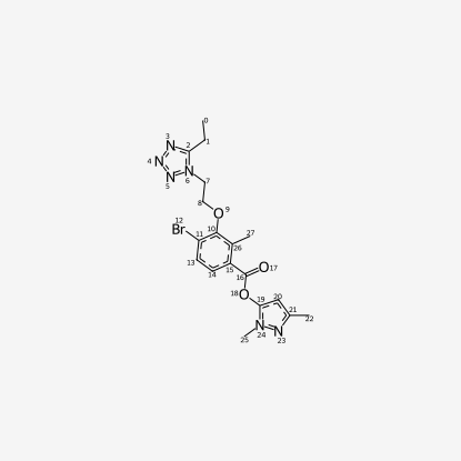 CCc1nnnn1CCOc1c(Br)ccc(C(=O)Oc2cc(C)nn2C)c1C